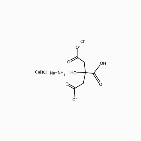 Cl.N.O=C([O-])CC(O)(CC(=O)[O-])C(=O)O.[Ca+2].[Cl-].[Na+]